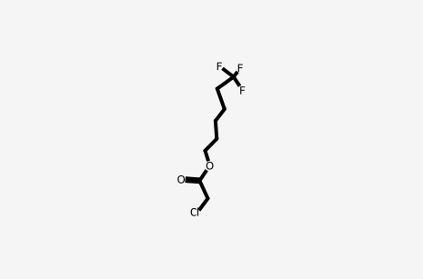 O=C(CCl)OCCCCCC(F)(F)F